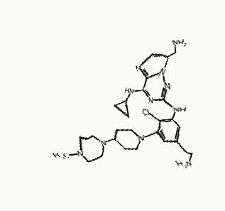 CN1CCN(C2CCN(c3cc(CN)cc(Nc4nc(NC5CC5)c5ncc(CN)n5n4)c3Cl)CC2)CC1